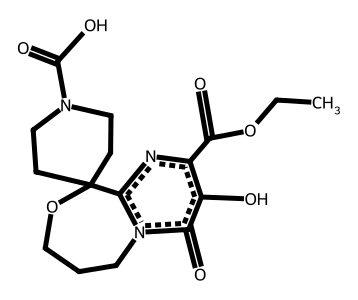 CCOC(=O)c1nc2n(c(=O)c1O)CCCOC21CCN(C(=O)O)CC1